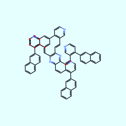 C(=Cc1nc(C=Cc2cnccc2-c2ccc3ccccc3c2)c(C=Cc2cnccc2-c2ccc3ccccc3c2)nc1C=Cc1cnccc1-c1ccc2ccccc2c1)c1cnccc1-c1ccc2ccccc2c1